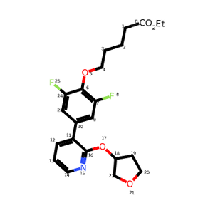 CCOC(=O)CCCCOc1c(F)cc(-c2cccnc2OC2CCOC2)cc1F